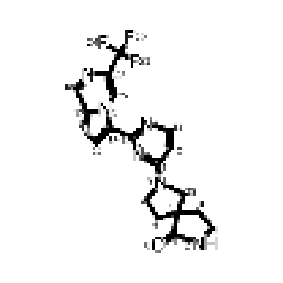 O=C1NCCC12CCN(c1ccnc(-c3cnc4cnc(C(F)(F)F)cn34)n1)C2